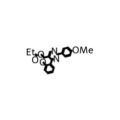 CCC(=O)OC1Oc2ccccc2-c2nc(-c3ccc(OC)cc3)ncc21